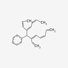 C=C/C=C\C=C(/C=C)C(C(/C=C\C)=C/C=C\C)c1ccccc1